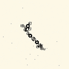 CCC(C)n1ncn(-c2ccc(N3CCN(c4ccc(OC[C@H]5CO[C@](CC(C)(C)C)(C6C=CC(Cl)=CC6Cl)O5)cc4)CC3)cc2)c1=O